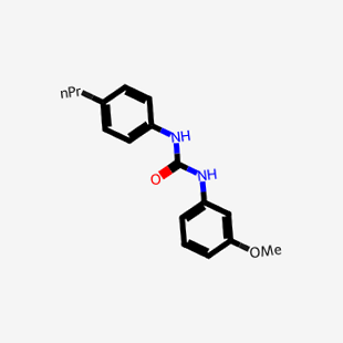 CCCc1ccc(NC(=O)Nc2cccc(OC)c2)cc1